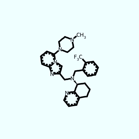 CN1CCN(c2cccc3nc(CN(Cc4ccccc4C(F)(F)F)[C@H]4CCCc5cccnc54)cn23)CC1